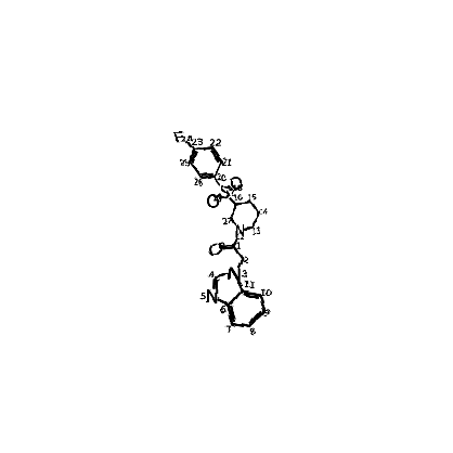 O=C(Cn1cnc2ccccc21)N1CCCC(S(=O)(=O)c2ccc(F)cc2)C1